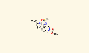 COc1ccc2c(n1)/C(=N\[S@+]([O-])C(C)(C)C)C1(CCN(C(=O)OC(C)(C)C)CC1)C2